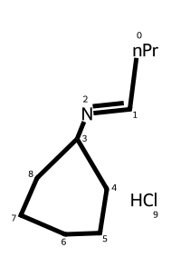 CCCC=NC1CCCCC1.Cl